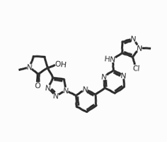 CN1CCC(O)(c2cn(-c3cccc(-c4ccnc(Nc5cnn(C)c5Cl)n4)n3)nn2)C1=O